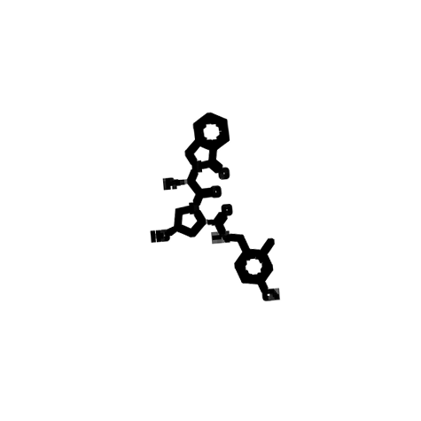 Cc1cc(C#N)ccc1CNC(=O)[C@@H]1C[C@@H](O)CN1C(=O)[C@H](C(C)C)N1Cc2ccccc2C1=O